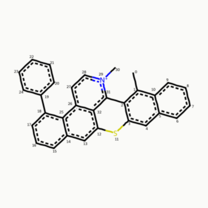 Cc1c2c(cc3ccccc13)Sc1cc3cccc(-c4ccccc4)c3c3cc[n+](C)c-2c13